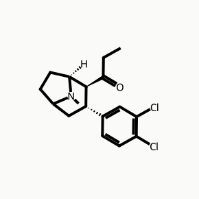 CCC(=O)[C@H]1[C@H](c2ccc(Cl)c(Cl)c2)CC2CC[C@@H]1N2C